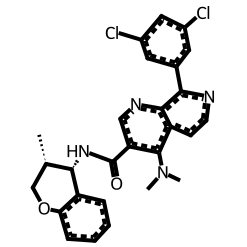 C[C@H]1COc2ccccc2[C@H]1NC(=O)c1cnc2c(-c3cc(Cl)cc(Cl)c3)nccc2c1N(C)C